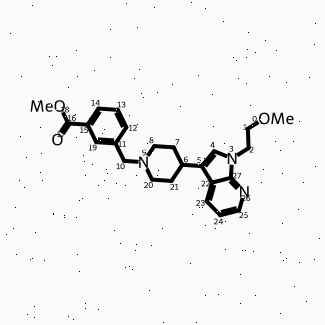 COCCn1cc(C2CCN(Cc3cccc(C(=O)OC)c3)CC2)c2cccnc21